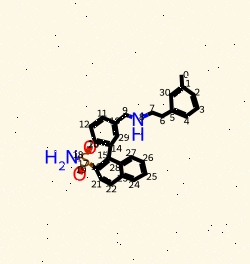 Cc1cccc(CCNCc2cccc(-c3c(S(N)(=O)=O)ccc4ccccc34)c2)c1